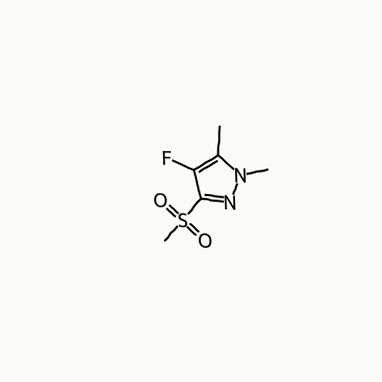 Cc1c(F)c(S(C)(=O)=O)nn1C